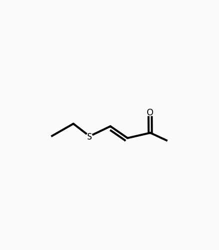 CCSC=CC(C)=O